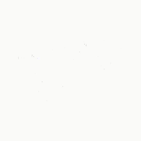 O/N=C(\Cc1ccccc1)c1ccc(C2=NOC(O)(C(F)(F)F)C2)cc1